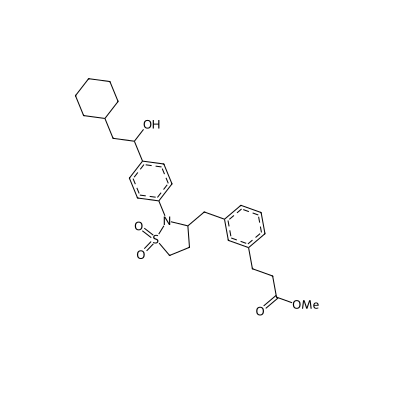 COC(=O)CCc1cccc(CC2CCS(=O)(=O)N2c2ccc(C(O)CC3CCCCC3)cc2)c1